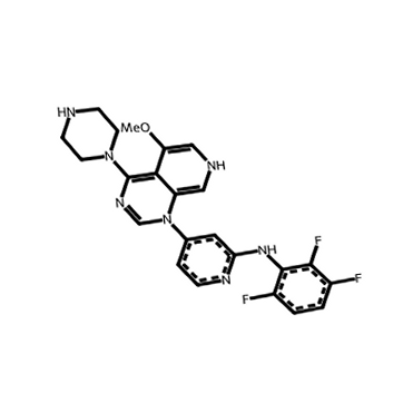 COC1=CNC=C2C1=C(N1CCNCC1)N=CN2c1ccnc(Nc2c(F)ccc(F)c2F)c1